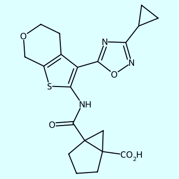 O=C(O)C12CCCC1(C(=O)Nc1sc3c(c1-c1nc(C4CC4)no1)CCOC3)C2